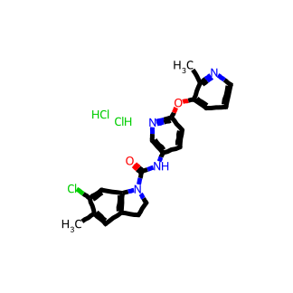 Cc1cc2c(cc1Cl)N(C(=O)Nc1ccc(Oc3cccnc3C)nc1)CC2.Cl.Cl